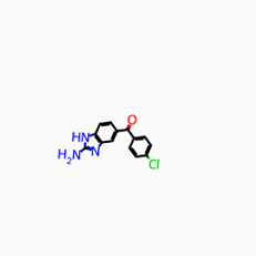 Nc1nc2cc(C(=O)c3ccc(Cl)cc3)ccc2[nH]1